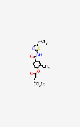 CCOC(=O)CCC(=O)Oc1ccc(C(=O)Nc2ncc(CC(F)(F)F)s2)cc1C